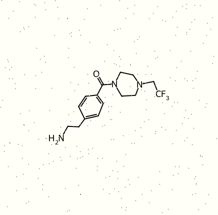 NCCc1ccc(C(=O)N2CCN(CC(F)(F)F)CC2)cc1